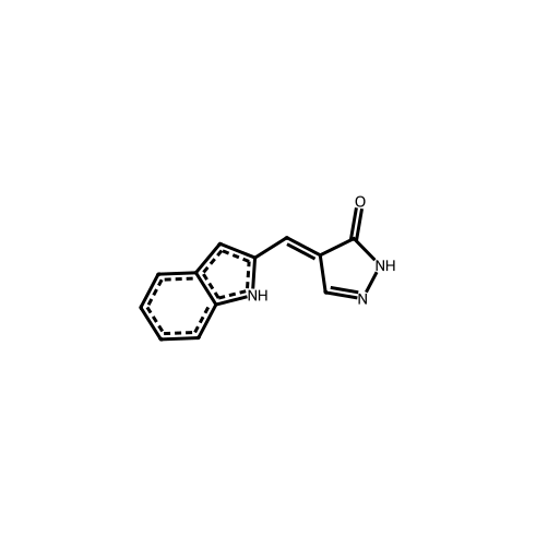 O=C1NN=C/C1=C\c1cc2ccccc2[nH]1